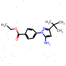 CCOC(=O)c1ccc(-n2nc(C(C)(C)C)cc2N)cc1